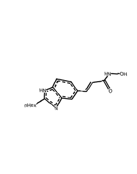 CCCCCCc1nc2cc(/C=C/C(=O)NO)ccc2[nH]1